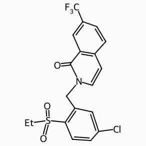 CCS(=O)(=O)c1ccc(Cl)cc1Cn1ccc2ccc(C(F)(F)F)cc2c1=O